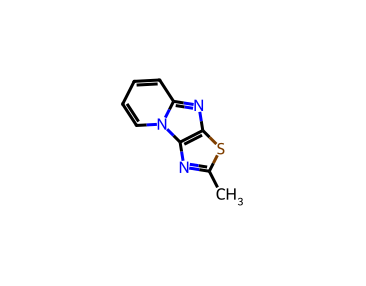 Cc1nc2c(nc3ccccn32)s1